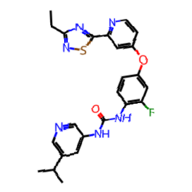 CCc1nsc(-c2cc(Oc3ccc(NC(=O)Nc4cncc(C(C)C)c4)c(F)c3)ccn2)n1